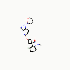 O=C(O)CN1C(=O)C2(CC(Oc3ccc4c(cnn4C4CCCCO4)n3)C2)c2c(F)cccc21